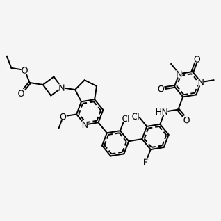 CCOC(=O)C1CN(C2CCc3cc(-c4cccc(-c5c(F)ccc(NC(=O)c6cn(C)c(=O)n(C)c6=O)c5Cl)c4Cl)nc(OC)c32)C1